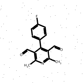 Cc1nc(C)c(C=O)c(-c2ccc(F)cc2)c1C=O